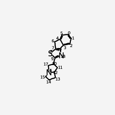 c1ccc2c(c1)Cc1sc(C3CC4CCCN4C3)nc1-2